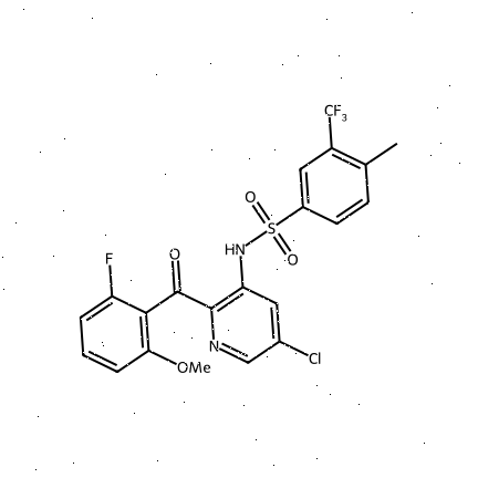 COc1cccc(F)c1C(=O)c1ncc(Cl)cc1NS(=O)(=O)c1ccc(C)c(C(F)(F)F)c1